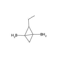 BC12CC1(B)C2CC